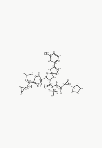 CCC[C@H](NC(=O)[C@@H]1C[C@]2(CC(c3cccc(Cl)c3)=NO2)CN1C(=O)[C@@H](NC(=O)[C@H]1C[C@@H]1C1CCCC1)C(C)(C)C)C(=O)C(=O)NC1CC1